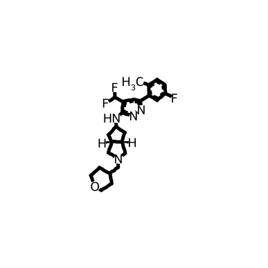 Cc1ccc(F)cc1-c1cc(C(F)F)c(NC2C[C@@H]3CN(CC4CCOCC4)C[C@@H]3C2)nn1